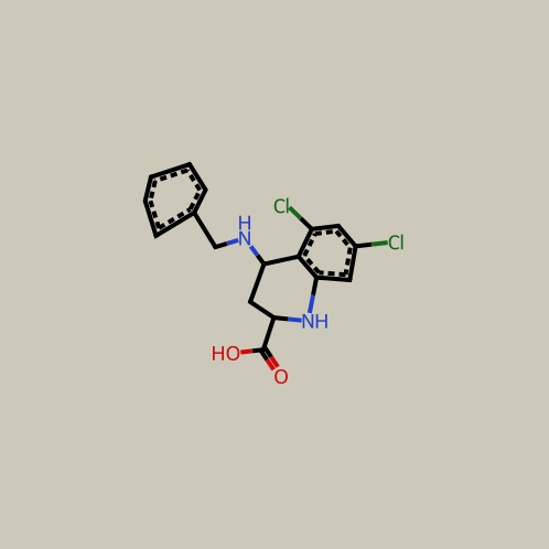 O=C(O)C1CC(NCc2ccccc2)c2c(Cl)cc(Cl)cc2N1